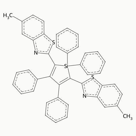 Cc1ccc2sc(C3=C(c4ccccc4)C(c4ccccc4)=C(c4nc5cc(C)ccc5s4)[Si]3(c3ccccc3)c3ccccc3)nc2c1